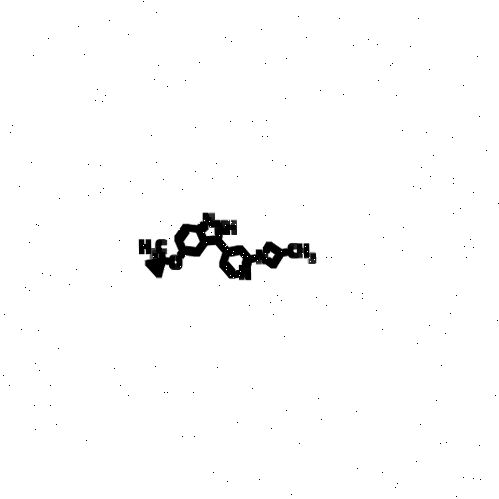 CC1CN(c2cc(-c3[nH]nc4ccc(OC5(C)CC5)cc34)ccn2)C1